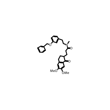 COc1cc2c(cc1OC)C(=O)C(CCC(=O)N(C)CCc1cccc(OCc3ccccc3)c1)CC2